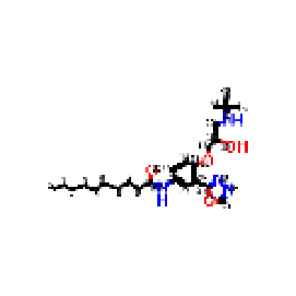 CCCCCCCCCC(=O)Nc1ccc(OCC(O)CNC(C)(C)C)c(-c2nnco2)c1